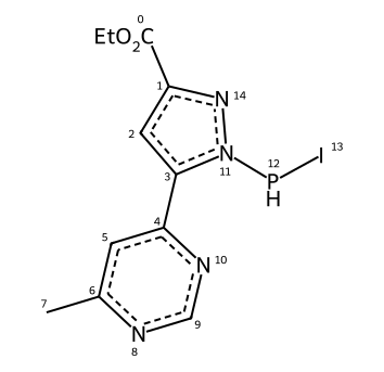 CCOC(=O)c1cc(-c2cc(C)ncn2)n(PI)n1